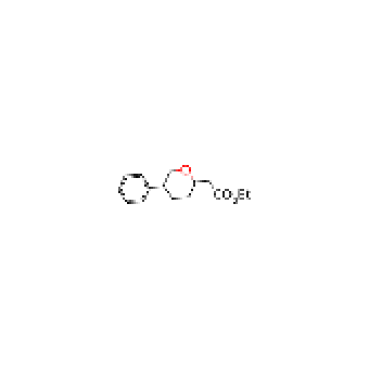 CCOC(=O)CC1CCC(c2ccccc2)CO1